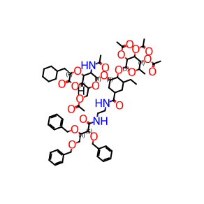 CCC1CC(C(=O)NCCNC(=O)[C@@H](OCc2ccccc2)[C@@H](COCc2ccccc2)OCc2ccccc2)C[C@@H](O[C@@H]2OC(COC(C)=O)[C@@H]3OC(=O)[C@@H](CC4CCCCC4)OC3C2NC(C)=O)C1O[C@@H]1OC(C)[C@@H](OC(C)=O)C(OC(C)=O)C1OC(C)=O